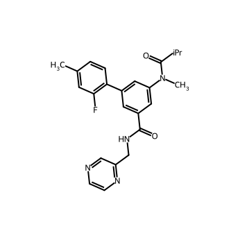 Cc1ccc(-c2cc(C(=O)NCc3cnccn3)cc(N(C)C(=O)C(C)C)c2)c(F)c1